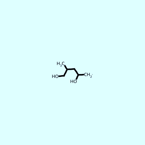 [CH2]C(O)CC(C)CO